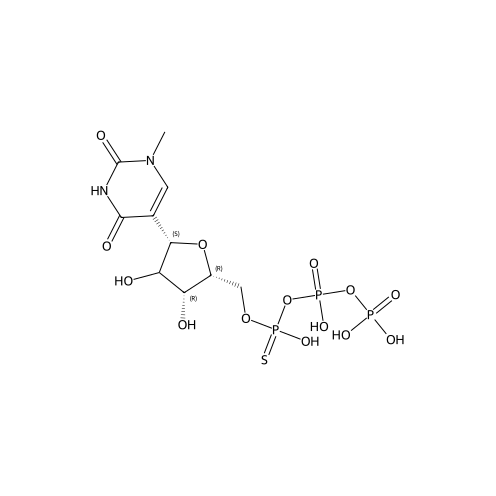 Cn1cc([C@@H]2O[C@H](COP(O)(=S)OP(=O)(O)OP(=O)(O)O)[C@H](O)C2O)c(=O)[nH]c1=O